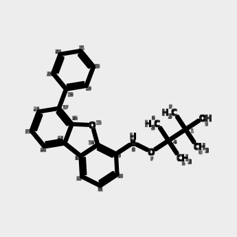 CC(C)(O)C(C)(C)OBc1cccc2c1oc1c(-c3ccccc3)cccc12